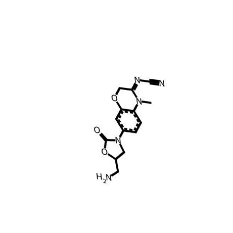 CN1C(=NC#N)COc2cc(N3CC(CN)OC3=O)ccc21